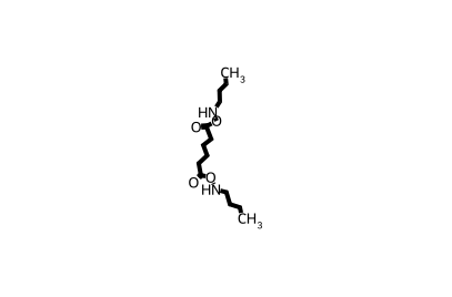 CCCCNOC(=O)CCCCC(=O)ONCCCC